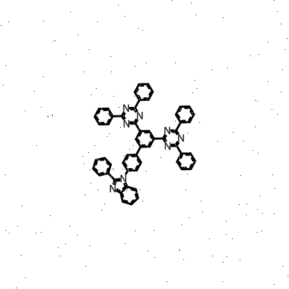 c1ccc(-c2nc(-c3ccccc3)nc(-c3cc(-c4ccc(-n5c(-c6ccccc6)nc6ccccc65)cc4)cc(-c4nc(-c5ccccc5)nc(-c5ccccc5)n4)c3)n2)cc1